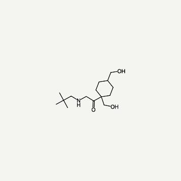 CC(C)(C)CNCC(=O)C1(CO)CCC(CO)CC1